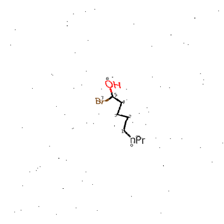 CCCCCCCC(O)Br